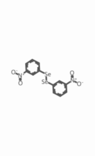 O=[N+]([O-])c1cccc([Se][Se]c2cccc([N+](=O)[O-])c2)c1